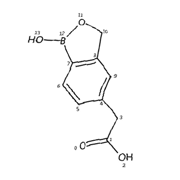 O=C(O)Cc1ccc2c(c1)COB2O